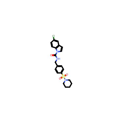 O=C(NCc1ccc(S(=O)(=O)N2CCCCC2)cc1)n1ccc2cc(Cl)ccc21